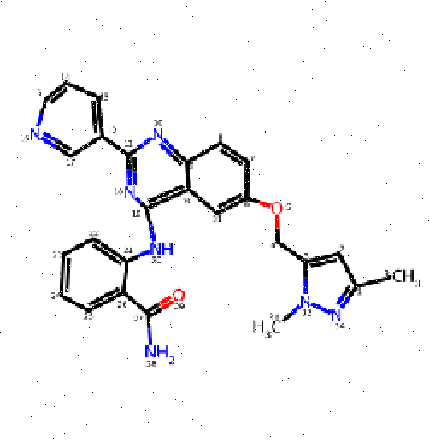 Cc1cc(COc2ccc3nc(-c4cccnc4)nc(Nc4ccccc4C(N)=O)c3c2)n(C)n1